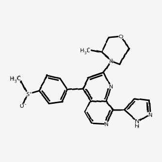 CC1COCCN1c1cc(-c2ccc([S+](C)[O-])cc2)c2ccnc(-c3ccn[nH]3)c2n1